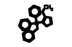 CCC1=C([Si](Cc2ccccc2)(c2ccccc2)c2ccccc2)CC=C1